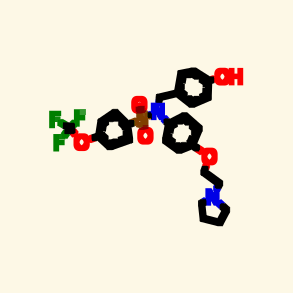 O=S(=O)(c1ccc(OC(F)(F)F)cc1)N(Cc1ccc(O)cc1)c1ccc(OCCN2CCCC2)cc1